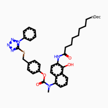 CCCCCCCCCCCCCCCCCC(=O)Nc1ccc2c(N(C)C(=O)Oc3ccc(CSc4nnnn4-c4ccccc4)cc3)cccc2c1O